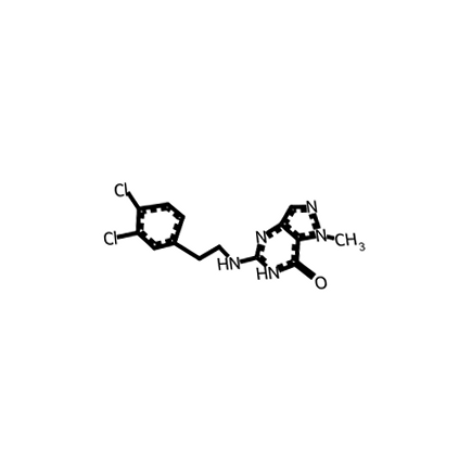 Cn1ncc2nc(NCCc3ccc(Cl)c(Cl)c3)[nH]c(=O)c21